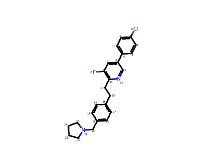 Fc1cc(-c2ccc(Cl)cc2)cnc1CCc1ccc(CN2CCCC2)cc1